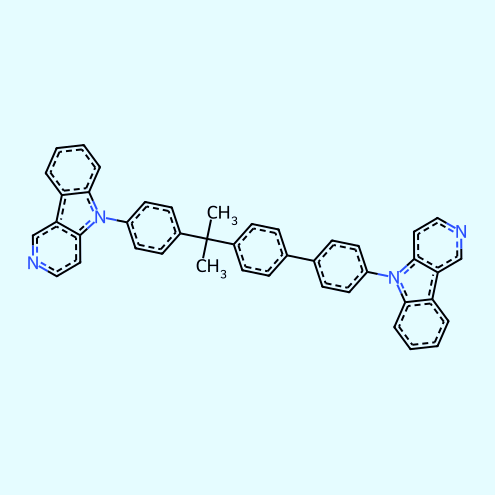 CC(C)(c1ccc(-c2ccc(-n3c4ccccc4c4cnccc43)cc2)cc1)c1ccc(-n2c3ccccc3c3cnccc32)cc1